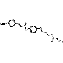 C=CC(=O)OCCCOc1ccc(OC(=O)/C=C/c2ccc(C#N)cc2)cc1